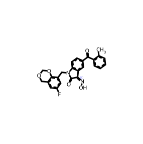 Cc1ccccc1C(=O)c1ccc2c(c1)/C(=N/O)C(=O)N2Cc1cc(F)cc2c1OCOC2